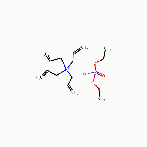 C=CC[N+](CC=C)(CC=C)CC=C.CCOP(=O)([O-])OCC